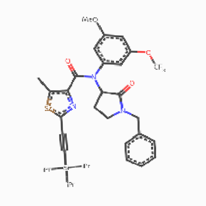 COc1cc(OC(F)(F)F)cc(N(C(=O)c2nc(C#C[Si](C(C)C)(C(C)C)C(C)C)sc2C)C2CCN(Cc3ccccc3)C2=O)c1